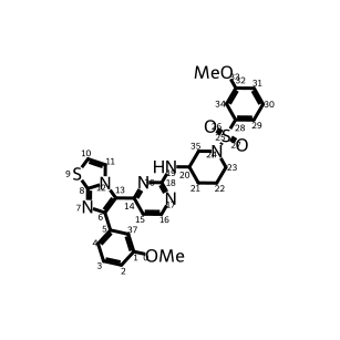 COc1cccc(-c2nc3sccn3c2-c2ccnc(NC3CCCN(S(=O)(=O)c4cccc(OC)c4)C3)n2)c1